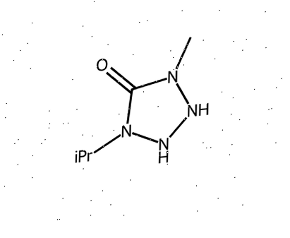 CC(C)N1NNN(C)C1=O